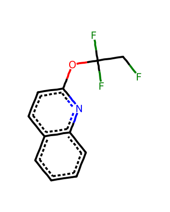 FCC(F)(F)Oc1ccc2ccccc2n1